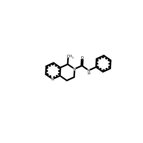 CC1c2cccnc2CCN1C(=O)Nc1ccccc1